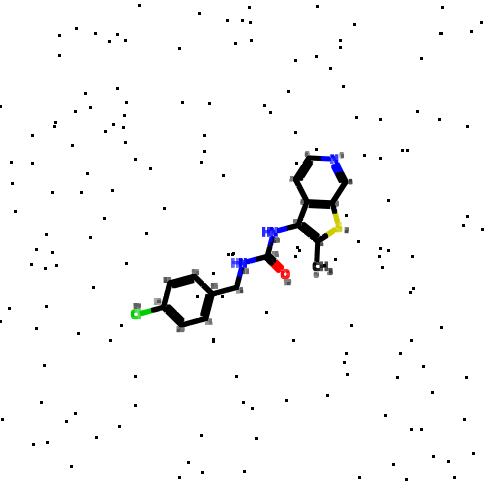 Cc1sc2cnccc2c1NC(=O)NCc1ccc(Cl)cc1